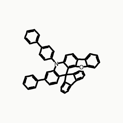 c1ccc(-c2ccc(N3c4cc(-c5ccccc5)ccc4C4(c5ccccc5-c5ccccc54)c4c3ccc3c4oc4ccccc43)cc2)cc1